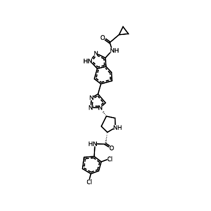 O=C(Nc1n[nH]c2cc(-c3cn([C@@H]4CN[C@H](C(=O)Nc5ccc(Cl)cc5Cl)C4)nn3)ccc12)C1CC1